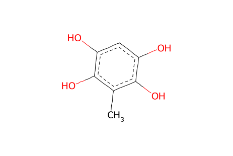 Cc1c(O)c(O)cc(O)c1O